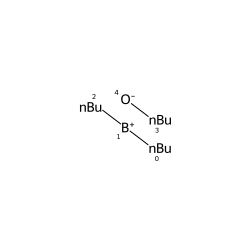 CCCC[B+]CCCC.CCCC[O-]